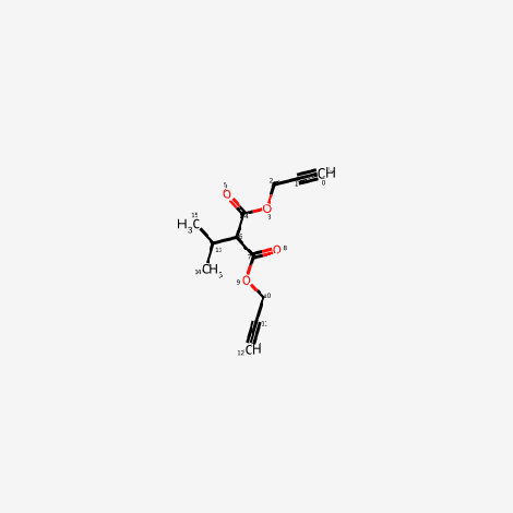 C#CCOC(=O)C(C(=O)OCC#C)C(C)C